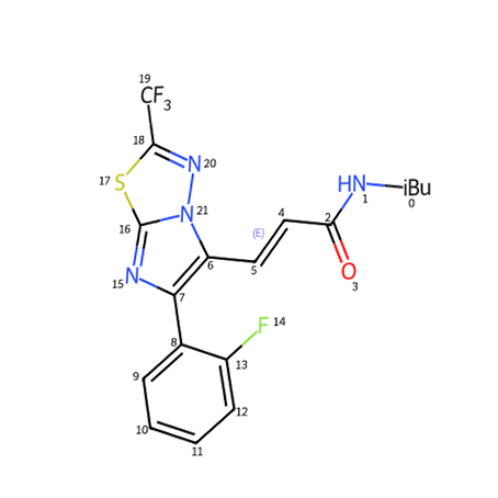 CCC(C)NC(=O)/C=C/c1c(-c2ccccc2F)nc2sc(C(F)(F)F)nn12